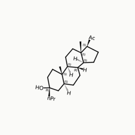 CCC[C@@]1(O)CC[C@@]2(C)[C@@H](CC[C@@H]3[C@@H]2CC[C@]2(C)[C@@H](C(C)=O)CC[C@@H]32)C1